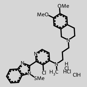 COc1cc2c(cc1OC)CN(CCCN(C)c1ccnc(-c3nc4ccccc4n3SC)c1Cl)CC2.Cl.Cl.Cl